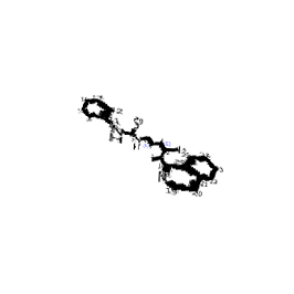 C=C(/C(I)=C\C=C\NC(=S)Nc1ccccc1)c1nccc2ccccc12